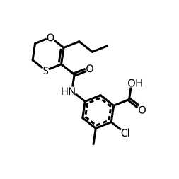 CCCC1=C(C(=O)Nc2cc(C)c(Cl)c(C(=O)O)c2)SCCO1